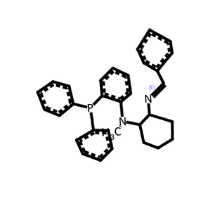 CN(c1ccccc1P(c1ccccc1)c1ccccc1)C1CCCCC1/N=C/c1ccccc1